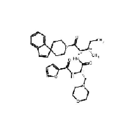 CC[C@H](C)[C@H](NC(=O)[C@H](CN1CCOCC1)NC(=O)c1ccno1)C(=O)N1CCC2(C=Cc3ccccc32)CC1